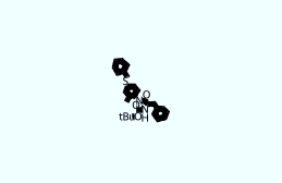 Cc1cc(SCc2ccccc2)ccc1NC(=O)C(Cc1ccccc1)NC(=O)OC(C)(C)C